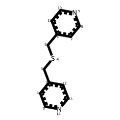 c1cc(CSCc2ccncc2)ccn1